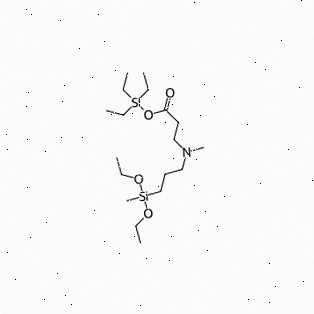 CCO[Si](C)(CCCN(C)CCC(=O)O[Si](CC)(CC)CC)OCC